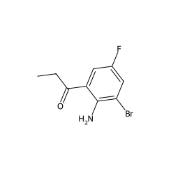 CCC(=O)c1cc(F)cc(Br)c1N